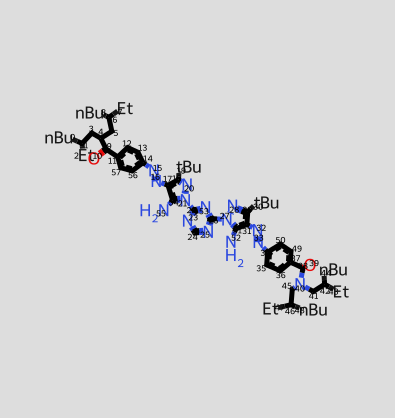 CCCCC(CC)CC(CC(CC)CCCC)C(=O)c1ccc(/N=N/c2c(C(C)(C)C)nn(-c3ncnc(-n4nc(C(C)(C)C)c(/N=N/c5ccc(C(=O)N(CC(CC)CCCC)CC(CC)CCCC)cc5)c4N)n3)c2N)cc1